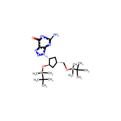 CC(C)(C)[Si](C)(C)OC[C@H]1C[C@@H](n2nnc3c(=O)[nH]c(N)nc32)[C@H](O[Si](C)(C)C(C)(C)C)C1